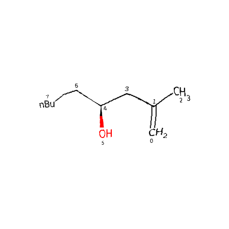 C=C(C)C[C@@H](O)CCCCC